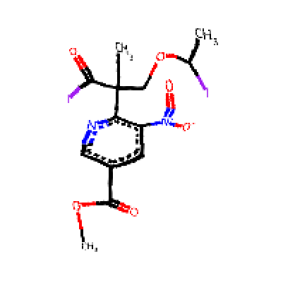 COC(=O)c1cnc(C(C)(COC(C)I)C(=O)I)c([N+](=O)[O-])c1